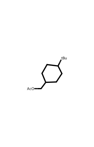 CC(=O)OCC1CCC(C(C)(C)C)CC1